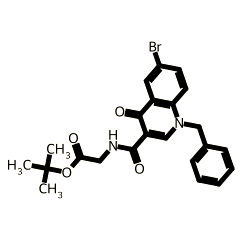 CC(C)(C)OC(=O)CNC(=O)c1cn(Cc2ccccc2)c2ccc(Br)cc2c1=O